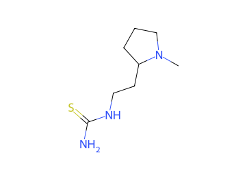 CN1CCCC1CCNC(N)=S